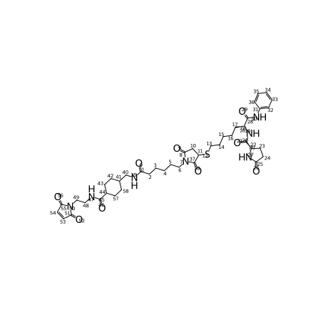 O=C(CCCCCN1C(=O)CC(SCCCCC[C@H](NC(=O)[C@H]2CCC(=O)N2)C(=O)Nc2ccccc2)C1=O)NCC1CCC(C(=O)NCCN2C(=O)C=CC2=O)CC1